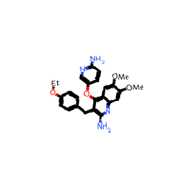 CCOc1ccc(Cc2c(N)nc3cc(OC)c(OC)cc3c2Oc2ccc(N)nc2)cc1